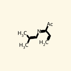 C=C/C(=N\C=C(C)C)C(C)=O